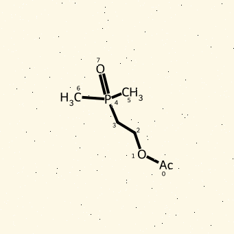 CC(=O)OCCP(C)(C)=O